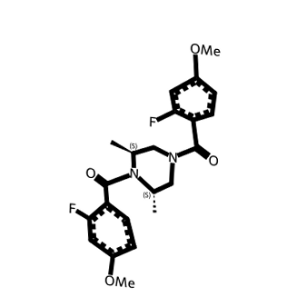 COc1ccc(C(=O)N2C[C@H](C)N(C(=O)c3ccc(OC)cc3F)[C@@H](C)C2)c(F)c1